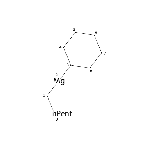 CCCCC[CH2][Mg][CH]1CCCCC1